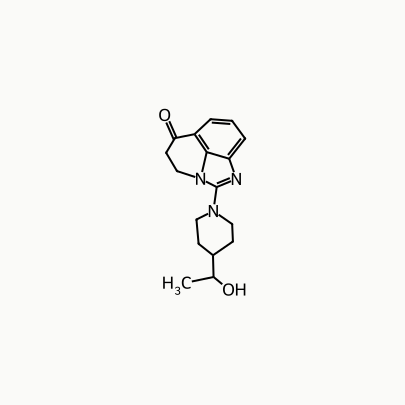 CC(O)C1CCN(c2nc3cccc4c3n2CCC4=O)CC1